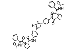 CC(=O)N[C@@H](C(=O)N1CCCC1C(=O)Nc1ccc(-c2cc(-c3ccc(NC(=O)C4CCCN4C(=O)[C@H](NC(C)=O)c4ccccc4)cc3)[nH]n2)cc1)c1ccccc1